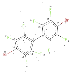 Fc1c(F)c(-c2c(F)c(F)c(Br)c(F)c2F)c(F)c(F)c1Br